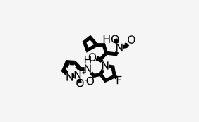 O=CN(O)CC(CC1CCC1)C(=O)N1CC(F)CC1C(=O)Nc1cccn[n+]1[O-]